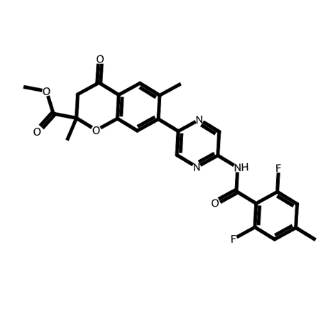 COC(=O)C1(C)CC(=O)c2cc(C)c(-c3cnc(NC(=O)c4c(F)cc(C)cc4F)cn3)cc2O1